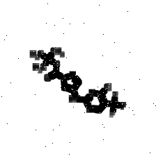 CC(C)(C)OC(=O)n1cc(Nc2ncc(C(F)(F)F)c(Cl)n2)cn1